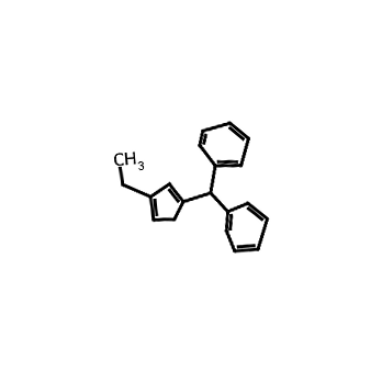 CCC1=CCC(C(c2ccccc2)c2ccccc2)=C1